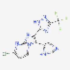 FC(F)(F)c1n[nH]c(-c2nc3nc(Cl)ccn3c2-c2cnc[nH]2)n1